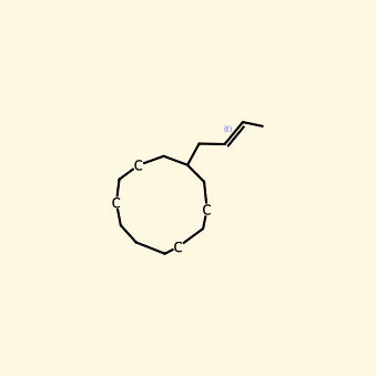 C/C=C/CC1CCCCCCCCCCC1